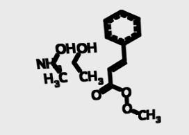 CCO.CCO.COOC(=O)/C=C/c1ccccc1.N